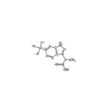 CC(C(=O)O)c1c[nH]c2cc(C(F)(F)F)ccc12